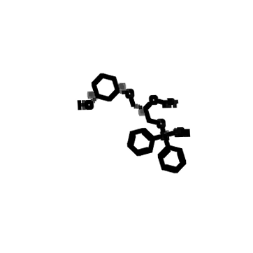 CCCO[C@@H](CO[C@H]1CCC[C@@H](O)C1)CO[Si](c1ccccc1)(c1ccccc1)C(C)(C)C